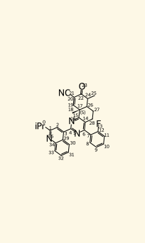 CC(C)c1cc(-c2nc(-c3ccccc3F)c3c(n2)[C@]2(C)C=C(C#N)C(=O)C(C)C2CC3)c2ccccc2n1